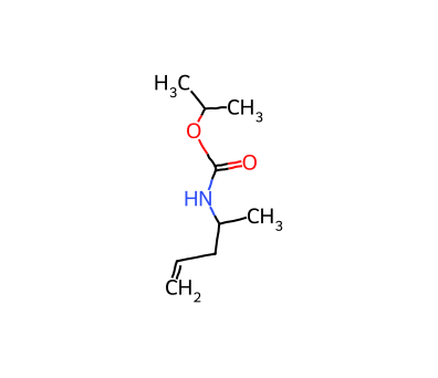 C=CCC(C)NC(=O)OC(C)C